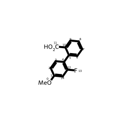 COc1ccc(-c2ccccc2C(=O)O)c(F)c1